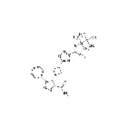 CC(O[Si](C)(C)C(C)(C)C)c1noc([C@H]2C[C@@H](c3c(C(N)=O)noc3-c3ccccc3)C2)n1